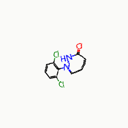 O=C1C=CCN(c2c(Cl)cccc2Cl)N1